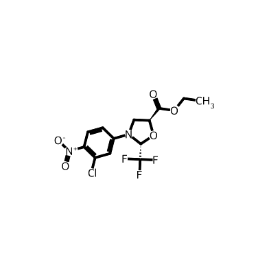 CCOC(=O)[C@@H]1CN(c2ccc([N+](=O)[O-])c(Cl)c2)[C@@H](C(F)(F)F)O1